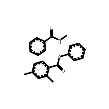 CNC(=O)c1ccccc1.Cc1ccc(C(=O)Oc2ccccc2)c(C)c1